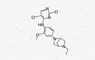 CCN1CC2CC1CN2c1ccc(Nc2nc(Cl)ncc2Cl)c(OC)c1